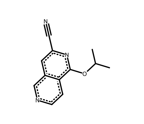 CC(C)Oc1nc(C#N)cc2cnccc12